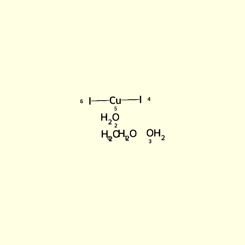 O.O.O.O.[I][Cu][I]